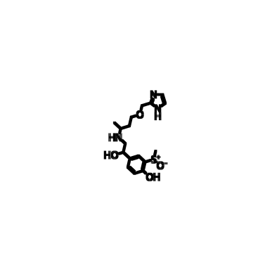 CC(CCOCc1ncc[nH]1)NCC(O)c1ccc(O)c([S+](C)[O-])c1